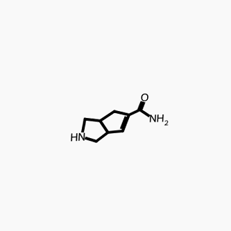 NC(=O)C1=CC2CNCC2C1